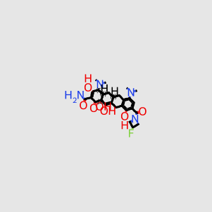 CN(C)c1cc(C(=O)N2CC(F)C2)c(O)c2c1C[C@H]1C[C@H]3[C@H](N(C)C)C(O)=C(C(N)=O)C(=O)[C@@]3(O)C(O)=C1C2